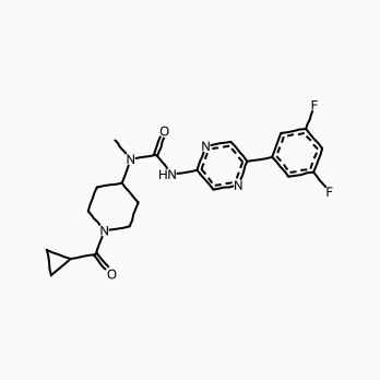 CN(C(=O)Nc1cnc(-c2cc(F)cc(F)c2)cn1)C1CCN(C(=O)C2CC2)CC1